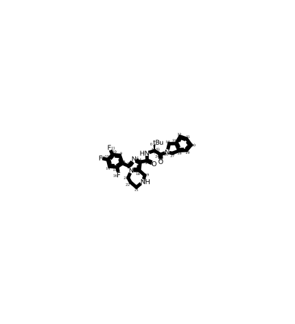 CC(C)(C)[C@H](NC(=O)c1nc(-c2cc(F)c(F)cc2F)n2c1CNCCC2)C(=O)N1Cc2ccccc2C1